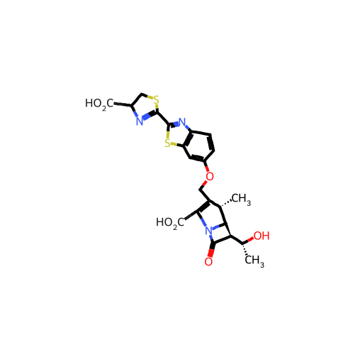 C[C@H]1C(COc2ccc3nc(C4=NC(C(=O)O)CS4)sc3c2)=C(C(=O)O)N2C(=O)[C@H]([C@@H](C)O)C12